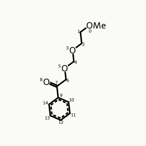 COCCOCOCC(=O)c1ccccc1